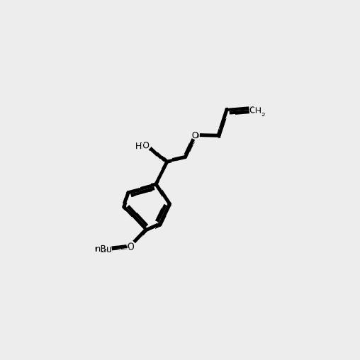 C=CCOCC(O)c1ccc(OCCCC)cc1